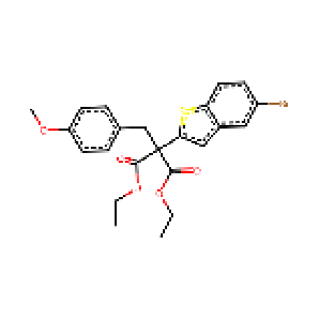 CCOC(=O)C(Cc1ccc(OC)cc1)(C(=O)OCC)c1cc2cc(Br)ccc2s1